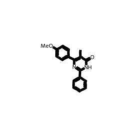 COc1ccc(-c2nc(-c3ccccc3)[nH]c(=O)c2C)cc1